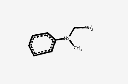 C[SH](CN)c1ccccc1